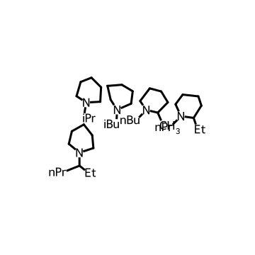 CC(C)N1CCCCC1.CCC(C)N1CCCCC1.CCCC(CC)N1CCCCC1.CCCCN1CCCCC1C.CCCN1CCCCC1CC